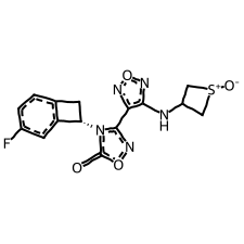 O=c1onc(-c2nonc2NC2C[S+]([O-])C2)n1[C@H]1Cc2ccc(F)cc21